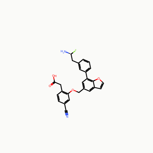 N#Cc1ccc(CC(=O)O)c(OCc2cc(-c3cccc(C[C@@H](N)F)c3)c3occc3c2)c1